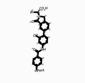 CCCCCc1ccc(C(=O)Nc2ccc(-c3ccc4c(c3)C(=O)N([C@H](C(=O)O)C(C)C)C4)c(Cl)c2)cc1